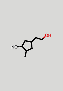 CC1CC(CCO)CC1C#N